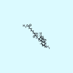 CC(=O)CCCCCNC(=O)OC[C@H]1O[C@@H](n2ccc(N)nc2=O)C(F)(F)[C@H]1O